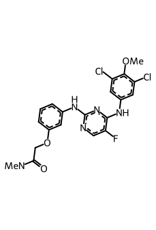 CNC(=O)COc1cccc(Nc2ncc(F)c(Nc3cc(Cl)c(OC)c(Cl)c3)n2)c1